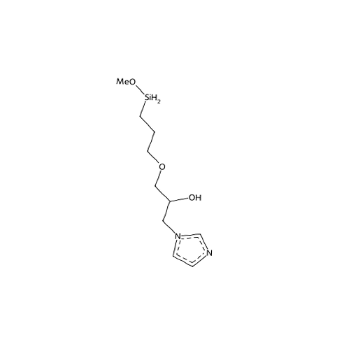 CO[SiH2]CCCOCC(O)Cn1ccnc1